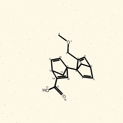 COCC1=CC2C=CC1(C13C=CC(C1)C(C(=O)O)=C3)C2